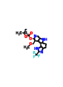 COCc1c(OC(=O)OC(C)C)ncc2[nH]c3ccc4nc(C(F)(F)F)[nH]c4c3c12